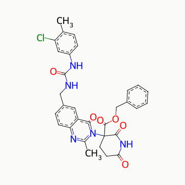 Cc1ccc(NC(=O)NCc2ccc3nc(C)n(C4(C(=O)OCc5ccccc5)CCC(=O)NC4=O)c(=O)c3c2)cc1Cl